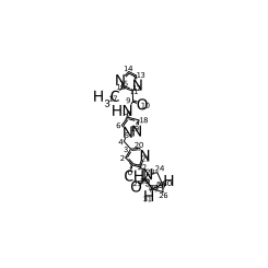 Cc1cc(Cn2cc(NC(=O)c3nccnc3C)cn2)cnc1N1C[C@H]2C[C@H]2C1=O